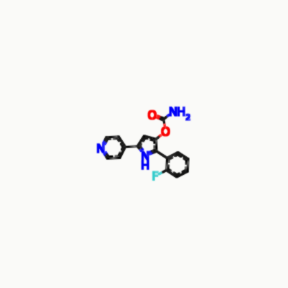 NC(=O)Oc1cc(-c2ccncc2)[nH]c1-c1ccccc1F